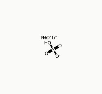 O=S(=O)([O-])O.[Li+].[Na+].[OH-]